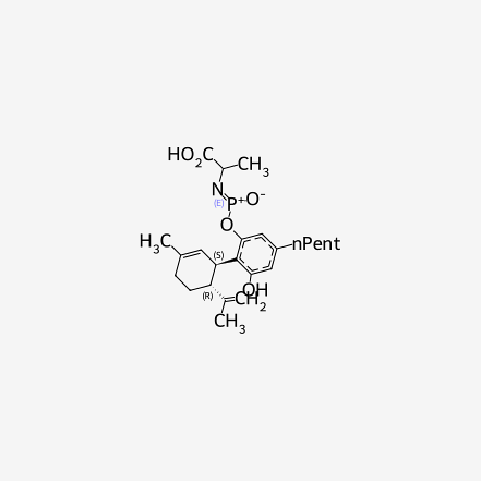 C=C(C)[C@@H]1CCC(C)=C[C@H]1c1c(O)cc(CCCCC)cc1O/[P+]([O-])=N/C(C)C(=O)O